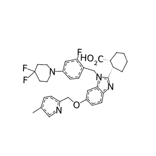 Cc1ccc(COc2ccc3nc([C@H]4CCCC[C@H]4C(=O)O)n(Cc4ccc(N5CCC(F)(F)CC5)cc4F)c3c2)nc1